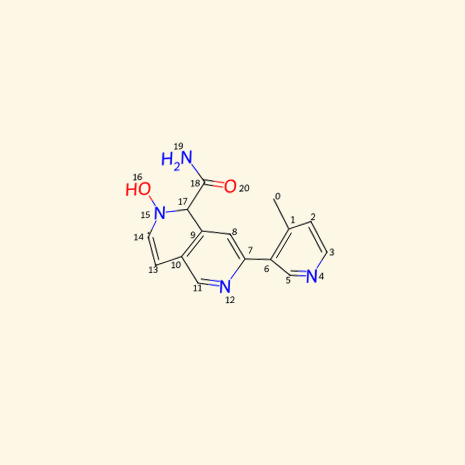 Cc1ccncc1-c1cc2c(cn1)C=[C]N(O)C2C(N)=O